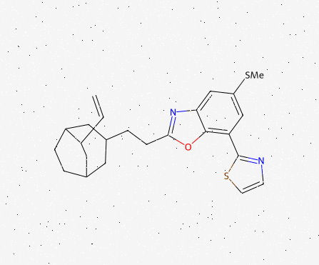 C=CC1CC2CCC1CC(CCc1nc3cc(SC)cc(-c4nccs4)c3o1)C2